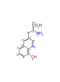 N[C@@H](Cc1cnc2c(O)cccc2c1)C(=O)O